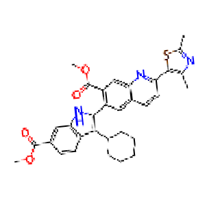 COC(=O)c1ccc2c(C3CCCCC3)c(-c3cc4ccc(-c5sc(C)nc5C)nc4cc3C(=O)OC)[nH]c2c1